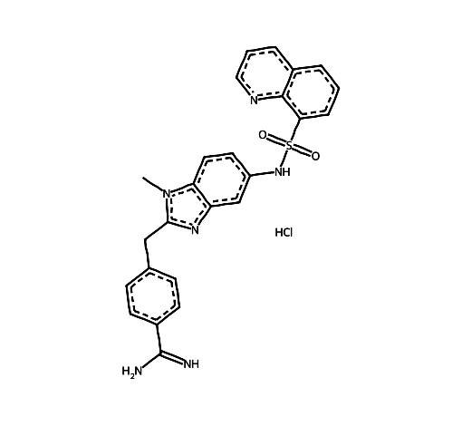 Cl.Cn1c(Cc2ccc(C(=N)N)cc2)nc2cc(NS(=O)(=O)c3cccc4cccnc34)ccc21